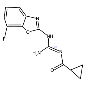 N/C(=N\C(=O)C1CC1)Nc1nc2cccc(F)c2o1